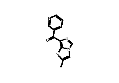 Cc1cn2cnc(C(=O)c3cccnc3)c2s1